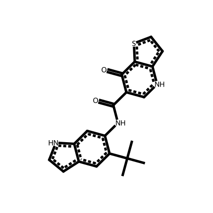 CC(C)(C)c1cc2cc[nH]c2cc1NC(=O)c1c[nH]c2ccsc2c1=O